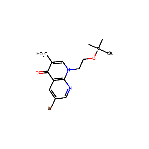 CC(C)(C)[Si](C)(C)OCCn1cc(C(=O)O)c(=O)c2cc(Br)cnc21